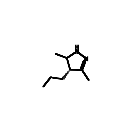 CCC[C@H]1C(C)=NNC1C